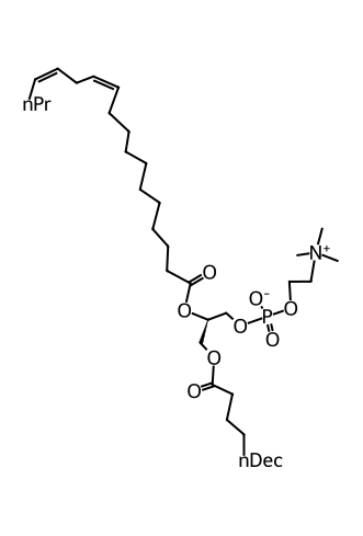 CCC/C=C\C/C=C\CCCCCCCCCC(=O)O[C@H](COC(=O)CCCCCCCCCCCCC)COP(=O)([O-])OCC[N+](C)(C)C